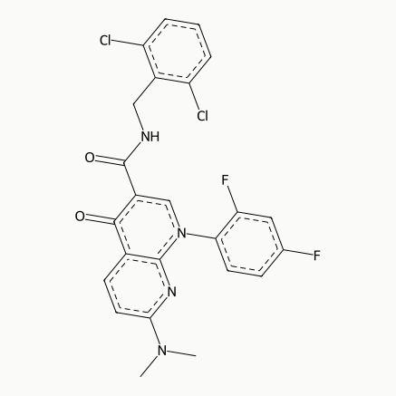 CN(C)c1ccc2c(=O)c(C(=O)NCc3c(Cl)cccc3Cl)cn(-c3ccc(F)cc3F)c2n1